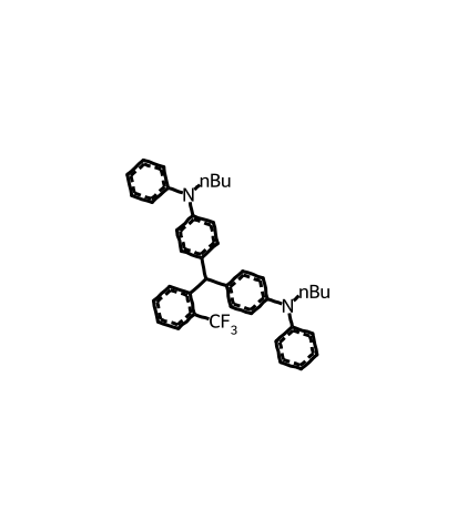 CCCCN(c1ccccc1)c1ccc(C(c2ccc(N(CCCC)c3ccccc3)cc2)c2ccccc2C(F)(F)F)cc1